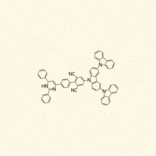 N#Cc1cc(-n2c3ccc(-n4c5ccccc5c5ccccc54)cc3c3cc(-n4c5ccccc5c5ccccc54)ccc32)cc(C#N)c1-c1ccc(C2=CC(c3ccccc3)NC(c3ccccc3)=N2)cc1